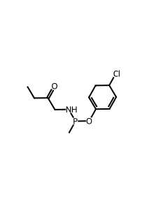 CCC(=O)CNP(C)OC1=CCC(Cl)C=C1